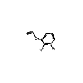 C=COc1cccc(Br)c1Br